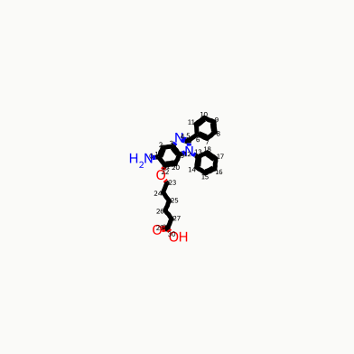 Nc1cc2nc(-c3ccccc3)n(-c3ccccc3)c2cc1OCCCCCC(=O)O